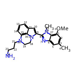 COc1cc(C)cc2nc(-c3cc4cccc5c4n3CCN5CCCN)n(C)c12